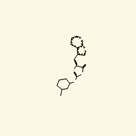 CC1CCCC(NC2=NC(=Cc3c[nH]c4ncccc34)C(=O)N2)C1.Cl.Cl